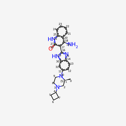 C[C@H]1CN(C2CCC2)CCN1c1ccc2nc(-c3c(N)c4ccccc4[nH]c3=O)[nH]c2c1